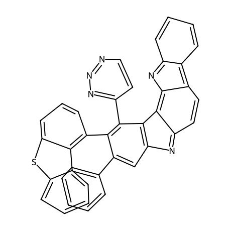 c1ccc(-c2cc3c(c(-c4ccnnn4)c2-c2cccc4sc5ccccc5c24)-c2c4c(ccc2=N3)=c2ccccc2=N4)cc1